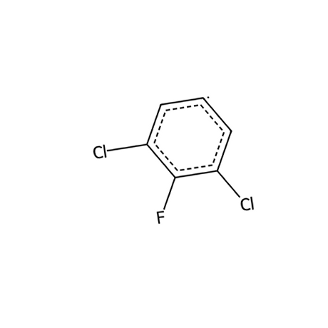 Fc1c(Cl)c[c]cc1Cl